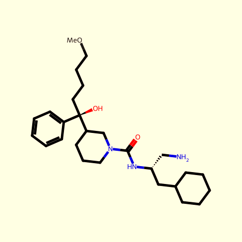 COCCCC[C@@](O)(c1ccccc1)C1CCCN(C(=O)N[C@H](CN)CC2CCCCC2)C1